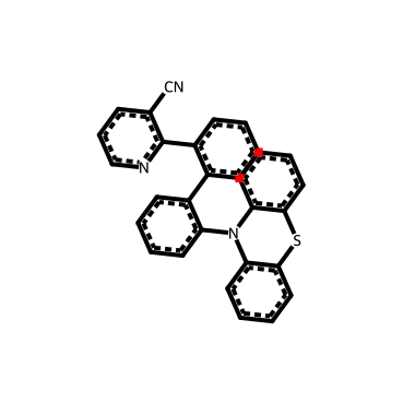 N#Cc1cccnc1-c1ccccc1-c1ccccc1N1c2ccccc2Sc2ccccc21